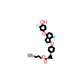 CC(C)(C)CCCOC(=O)[C@H]1C[C@@H]1c1ccc(O[C@@H]2CCc3c(Oc4ccc(O)c(F)c4)ccc(F)c32)cc1